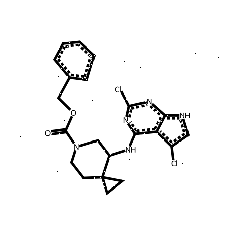 O=C(OCc1ccccc1)N1CCC2(CC2)C(Nc2nc(Cl)nc3[nH]cc(Cl)c23)C1